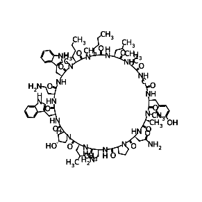 CCCC[C@H]1C(=O)N(C)[C@@H](CCCC)C(=O)N[C@@H](CC(C)C)C(=O)N[C@@H](C)C(=O)NCC(=O)N[C@@H](Cc2ccc(O)cc2)C(=O)N(C)[C@@H](C)C(=O)N[C@@H](CC(N)=O)C(=O)N2CCCC2C(=O)N[C@@H](CN)C(=O)N[C@@H](CC(C)C)C(=O)N2C[C@H](O)C[C@H]2C(=O)N[C@@H](Cc2c[nH]c3ccccc23)C(=O)N[C@@H](CCN)C(=O)N[C@@H](Cc2c[nH]c3ccccc23)C(=O)N1C